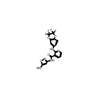 CC(C)(C)c1cc(NC(=O)c2cccnc2Nc2ccc3c(c2)OC(F)(F)C(F)(F)O3)no1